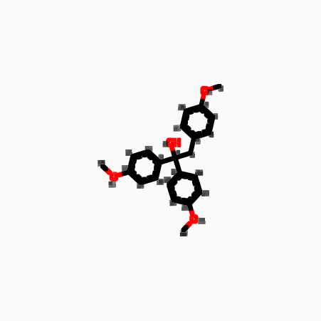 COc1ccc(CC(O)(c2ccc(OC)cc2)c2ccc(OC)cc2)cc1